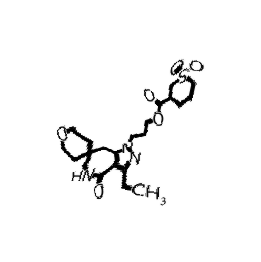 CCc1nn(CCCOC(=O)C2CCCS(=O)(=O)C2)c2c1C(=O)NCC1(CCOCC1)C2